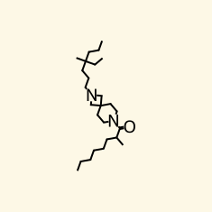 CCCCCCC(C)C(=O)N1CCC2(CC1)CN(CCCC(C)(CC)CCC)C2